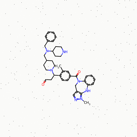 Cc1cc(C(=O)N2Cc3cnn(C)c3Nc3ccccc32)ccc1C(CC=O)N1CCC(CN(Cc2ccccc2)C2CCNCC2)CC1